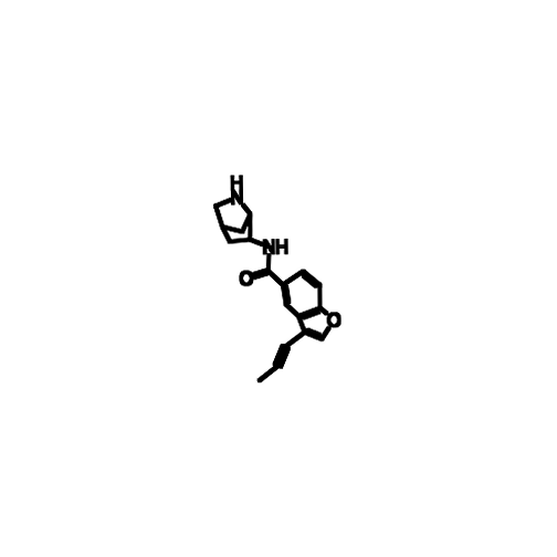 CC#Cc1coc2ccc(C(=O)NC3CC4CNC3C4)cc12